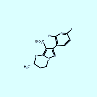 CCOC(=O)c1c(-c2ccc(F)nc2F)nn2c1O[C@@H](C)CC2